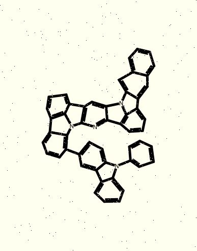 c1ccc(-n2c3ccccc3c3cc(-c4cccc5c6cccc7c8cc9c(nc8n(c45)c76)c4cccc5c6cc7ccccc7cc6n9c54)ccc32)cc1